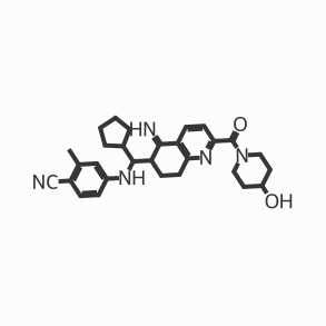 Cc1cc(NC(C2CCCC2)C2CCc3nc(C(=O)N4CCC(O)CC4)ccc3C2=N)ccc1C#N